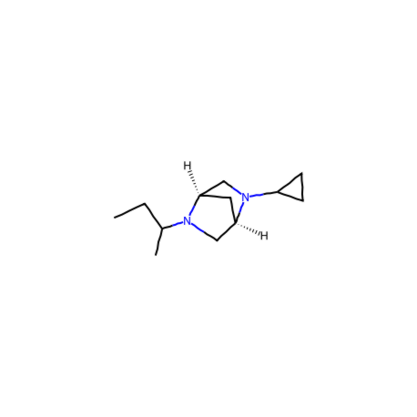 CCC(C)N1C[C@H]2C[C@@H]1CN2C1CC1